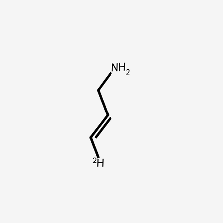 [2H]/C=C/CN